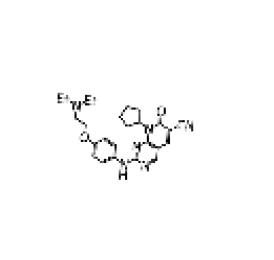 CCN(CC)CCOc1ccc(Nc2ncc3cc(C#N)c(=O)n(C4CCCC4)c3n2)cc1